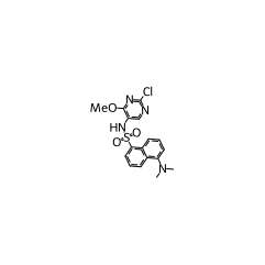 COc1nc(Cl)ncc1NS(=O)(=O)c1cccc2c(N(C)C)cccc12